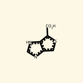 O=C(O)c1scc2nc[nH]c12